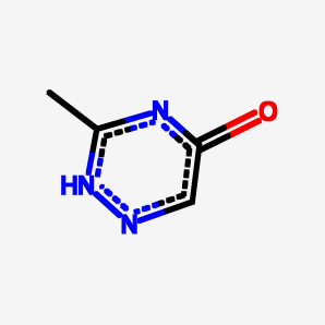 Cc1nc(=O)cn[nH]1